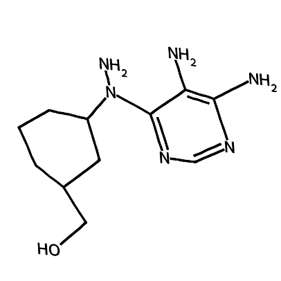 Nc1ncnc(N(N)C2CCCC(CO)C2)c1N